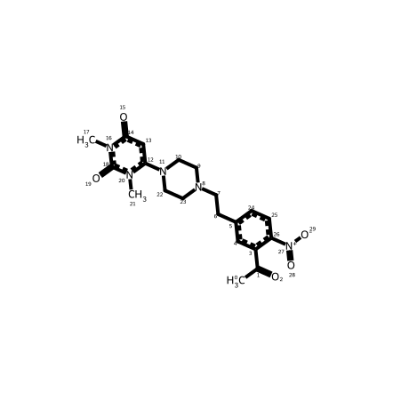 CC(=O)c1cc(CCN2CCN(c3cc(=O)n(C)c(=O)n3C)CC2)ccc1[N+](=O)[O-]